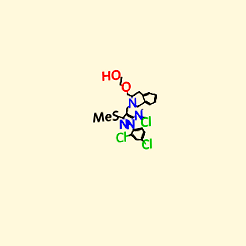 CSc1nn(-c2c(Cl)cc(Cl)cc2Cl)c(N(C)C)c1CN1Cc2ccccc2CC1COCCO